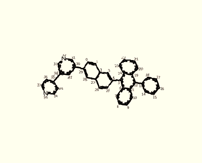 C1=CC2C=C(c3c4ccccc4c(-c4ccccc4)c4ccccc34)C=CC2C=C1c1cncc(-c2ccncc2)c1